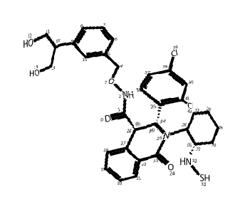 O=C(NOCc1cccc(C(CO)CO)c1)[C@@H]1c2ccccc2C(=O)N(C2CCCC[C@@H]2NS)[C@H]1c1ccc(Cl)cc1Cl